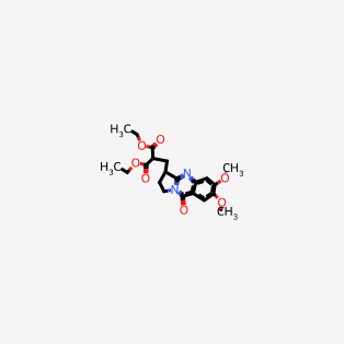 CCOC(=O)C(CC1CCn2c1nc1cc(OC)c(OC)cc1c2=O)C(=O)OCC